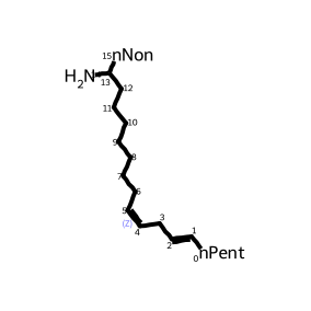 CCCCCC=CC/C=C\CCCCCCCC(N)CCCCCCCCC